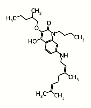 CCCCn1c(=O)c(OCC(C)CCC)c(O)c2ccc(NCC=C(C)CCC=C(C)C)cc21